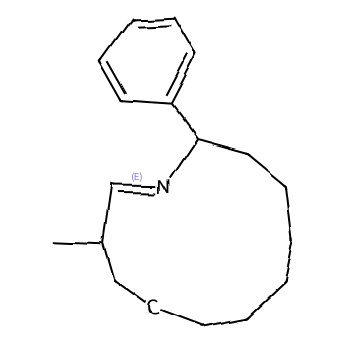 CC1/C=N/C(c2ccccc2)CCCCCCCC1